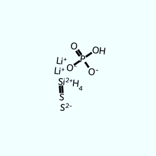 O=P([O-])([O-])O.[Li+].[Li+].[S-2].[SiH4+2]=S